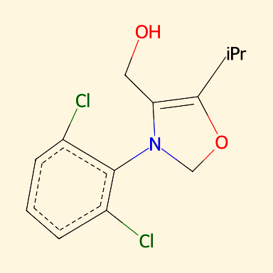 CC(C)C1=C(CO)N(c2c(Cl)cccc2Cl)CO1